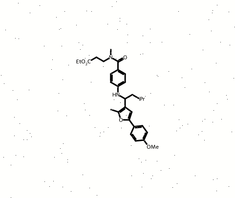 CCOC(=O)CCN(C)C(=O)c1ccc(NC(CC(C)C)c2cc(-c3ccc(OC)cc3)oc2C)cc1